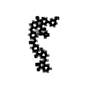 CCc1cccc(-c2cnc(C(=O)N3CCC(CN4CCN(CC(=O)N5CCN(C(=O)c6cc(Cc7n[nH]c(=O)c8ccccc78)ccc6F)CC5)CC4)CC3)c(NC(=O)CNC3COC3)c2)c1